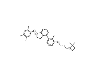 Cc1cc(C)c(O[C@H]2CCc3c(-c4cccc(OCCCN5CCC5(C)C)c4C)cccc32)cc1C